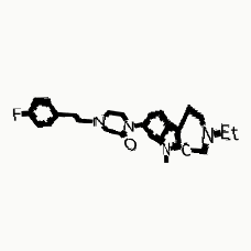 CCN1CCc2c(n(C)c3cc(N4CCN(CCc5ccc(F)cc5)CC4=O)ccc23)CC1